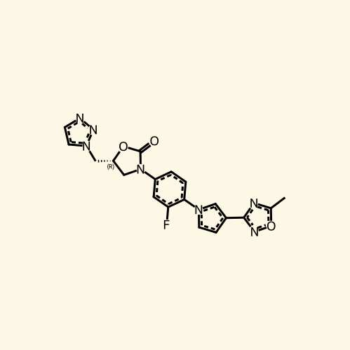 Cc1nc(-c2ccn(-c3ccc(N4C[C@H](Cn5ccnn5)OC4=O)cc3F)c2)no1